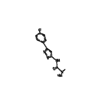 CCCCN(C)C(=O)Nc1cc(-c2ccc(Cl)cc2)ns1